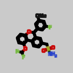 COc1cc(F)cc(C2Oc3cccc(OC(F)F)c3-c3ccc(CS(N)(=O)=O)cc32)c1